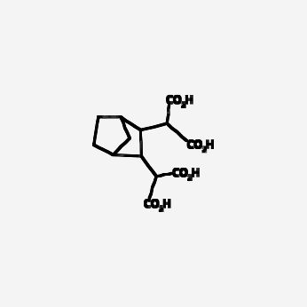 O=C(O)C(C(=O)O)C1C2CCC(C2)C1C(C(=O)O)C(=O)O